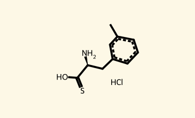 Cc1cccc(C[C@H](N)C(O)=S)c1.Cl